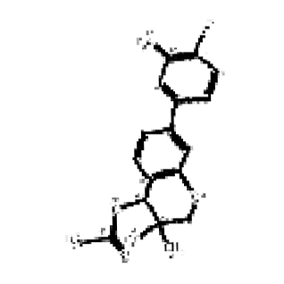 CC1(C)COc2cc(-c3ccc(F)c(C(F)(F)F)c3)ccc2C1OC(N)=O